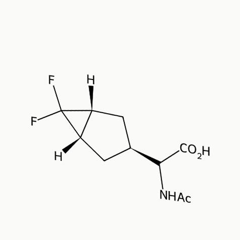 CC(=O)NC(C(=O)O)[C@@H]1C[C@@H]2[C@H](C1)C2(F)F